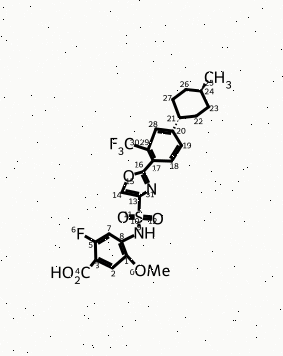 COc1cc(C(=O)O)c(F)cc1NS(=O)(=O)c1coc(-c2ccc([C@H]3CC[C@H](C)CC3)cc2C(F)(F)F)n1